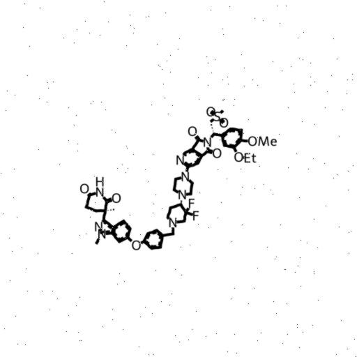 CCOc1cc([C@@H](CS(C)(=O)=O)N2C(=O)c3cnc(N4CCN([C@H]5CCN(Cc6ccc(Oc7ccc8c([C@@]9(C)CCC(=O)NC9=O)nn(C)c8c7)cc6)CC5(F)F)CC4)cc3C2=O)ccc1OC